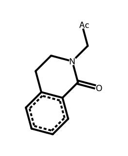 CC(=O)CN1CCc2ccccc2C1=O